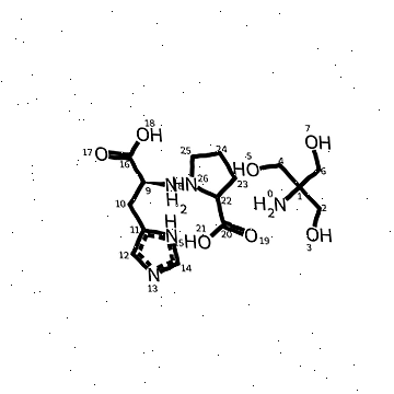 NC(CO)(CO)CO.N[C@@H](Cc1cnc[nH]1)C(=O)O.O=C(O)C1CCCN1